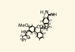 COc1cc(C(=O)O)c(-c2ccccc2CN2CCc3cc(C(=N)N)ccc32)cc1NC(=O)CC(C)C